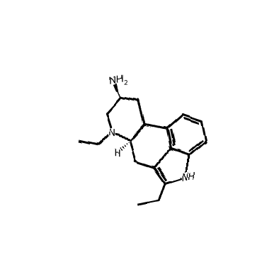 CCc1[nH]c2cccc3c2c1C[C@@H]1C3C[C@H](N)CN1CC